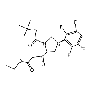 CCOC(=O)CC(=O)C1C[C@H](c2c(F)c(F)cc(F)c2F)CN1C(=O)OC(C)(C)C